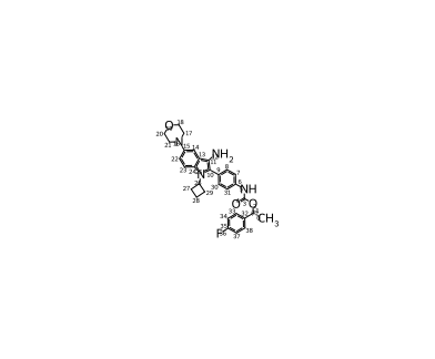 C[C@@H](OC(=O)Nc1ccc(-c2c(N)c3cc(N4CCOCC4)ccc3n2C2CCC2)cc1)c1ccc(F)cc1